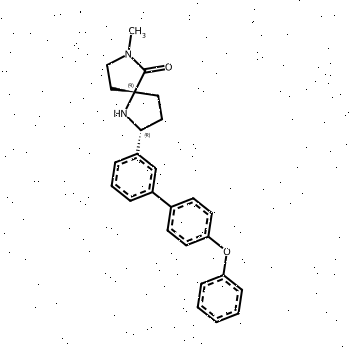 CN1CC[C@]2(CC[C@H](c3cccc(-c4ccc(Oc5ccccc5)cc4)c3)N2)C1=O